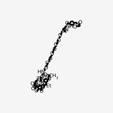 CCc1c2c(nc3ccc(OB(C)O)cc13)C1CC3C(COC(=O)C3(CC)OC(=O)OCC(NC(=O)COCC(=O)NCCOCCOCCOCCOCCOCCOCCOCCOCCn3cc(CNC(=O)C4CCC(CN5C(=O)C=CC5=O)CC4)nn3)C(C)C)C(=O)N1C2